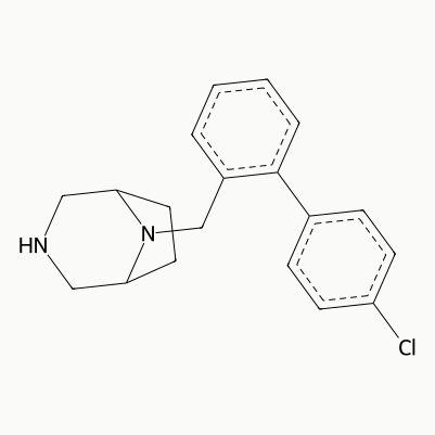 Clc1ccc(-c2ccccc2CN2C3CCC2CNC3)cc1